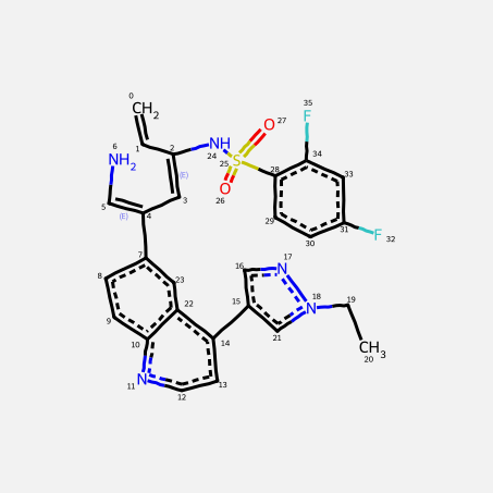 C=C/C(=C\C(=C/N)c1ccc2nccc(-c3cnn(CC)c3)c2c1)NS(=O)(=O)c1ccc(F)cc1F